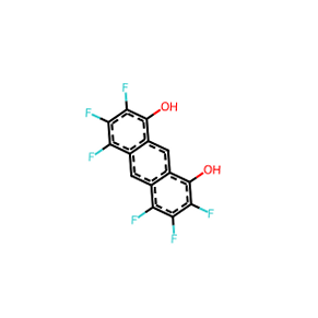 Oc1c(F)c(F)c(F)c2cc3c(F)c(F)c(F)c(O)c3cc12